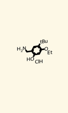 CCOc1cc(O)c(CN)cc1C(C)(C)C.Cl